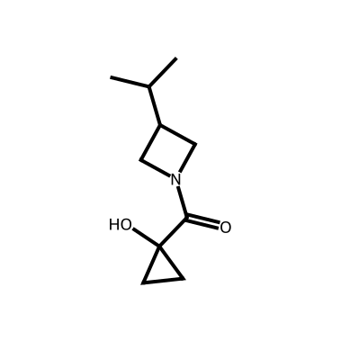 CC(C)C1CN(C(=O)C2(O)CC2)C1